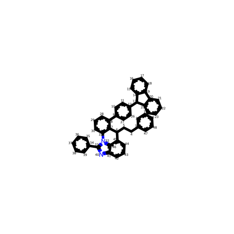 c1ccc(CCC2c3c(-c4ccc(C5c6ccccc6-c6ccccc65)cc4)cccc3-n3c(-c4ccccc4)nc4cccc2c43)cc1